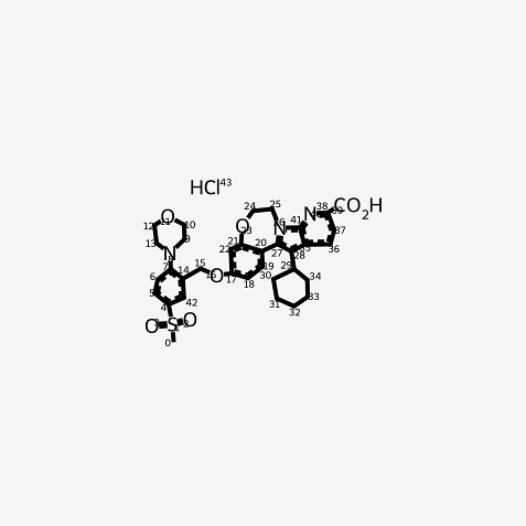 CS(=O)(=O)c1ccc(N2CCOCC2)c(COc2ccc3c(c2)OCCn2c-3c(C3CCCCC3)c3ccc(C(=O)O)nc32)c1.Cl